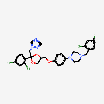 Clc1ccc(CN2CCN(c3ccc(OCC4COC(Cn5cncn5)(c5ccc(Cl)cc5Cl)O4)cc3)CC2)c(Cl)c1